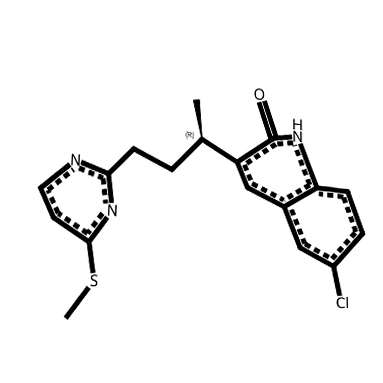 CSc1ccnc(CC[C@@H](C)c2cc3cc(Cl)ccc3[nH]c2=O)n1